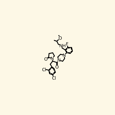 COC(C)CNCc1c(F)cccc1N1CCN(C(=O)C(Cc2ccc(Cl)cc2Cl)N2CCCC2=O)CC1